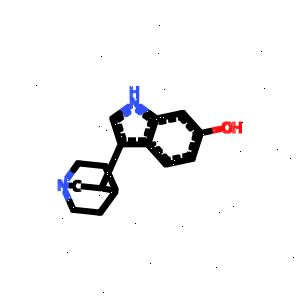 Oc1ccc2c(C3CN4CCC3CC4)c[nH]c2c1